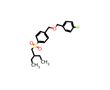 CCC(CC)CS(=O)(=O)c1ccc(COCc2ccc(F)cc2)cc1